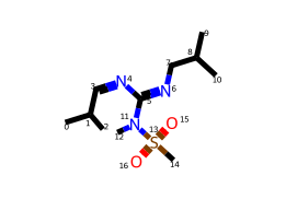 CC(C)/C=N\C(=N/CC(C)C)N(C)S(C)(=O)=O